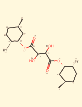 CC(C)[C@@H]1CC[C@@H](C)C[C@@H]1OC(=O)C(O)C(O)C(=O)O[C@H]1C[C@H](C)CC[C@H]1C(C)C